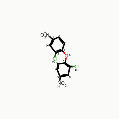 O=[N+]([O-])c1ccc(Oc2ccc([N+](=O)[O-])cc2Cl)c(Cl)c1